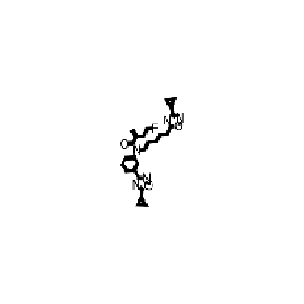 C=C(CCF)C(=O)N(CCCCCc1nc(C2CC2)no1)c1cccc(-c2noc(C3CC3)n2)c1